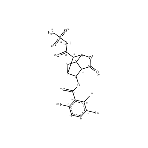 O=C(OC1C2CC3C(OC(=O)C31)C2C(=O)NS(=O)(=O)C(F)(F)F)c1c(I)ccc(I)c1I